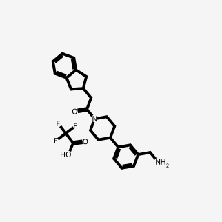 NCc1cccc(C2CCN(C(=O)CC3Cc4ccccc4C3)CC2)c1.O=C(O)C(F)(F)F